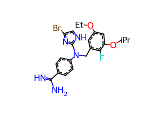 CCOc1cc(CN(c2ccc(C(=N)N)cc2)c2nc(Br)c[nH]2)c(F)c(OC(C)C)c1